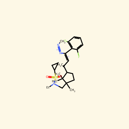 C=C(/C=C(\N=N/C)c1c(F)cccc1F)C1CCC(C)(CN(CC)S(=O)(=O)C2CC2)C1(C)C